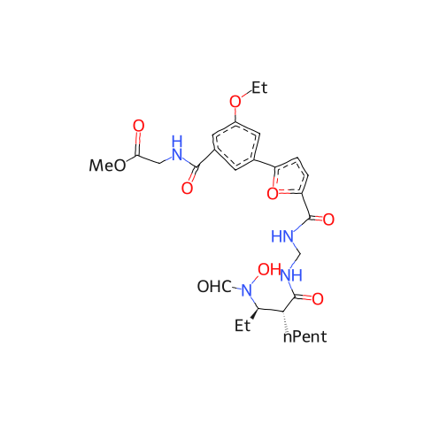 CCCCC[C@@H](C(=O)NCNC(=O)c1ccc(-c2cc(OCC)cc(C(=O)NCC(=O)OC)c2)o1)[C@@H](CC)N(O)C=O